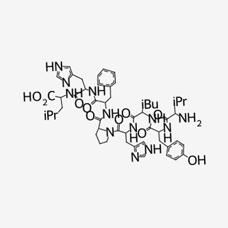 CCC(C)C(NC(=O)C(Cc1ccc(O)cc1)NC(=O)C(N)C(C)C)C(=O)NC(Cc1c[nH]cn1)C(=O)N1CCCC1C(=O)NC(Cc1ccccc1)C(=O)NC(Cc1c[nH]cn1)C(=O)NC(CC(C)C)C(=O)O